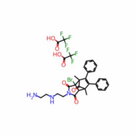 CC12C(=O)C(C)(C(c3ccccc3)=C1c1ccccc1)C1(Br)C(=O)N(CCNCCN)C(=O)C21.O=C(O)C(F)(F)F.O=C(O)C(F)(F)F